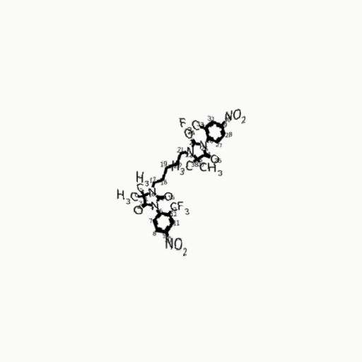 CC1(C)C(=O)N(c2ccc([N+](=O)[O-])cc2C(F)(F)F)C(=O)N1CCCCCN1C(=O)N(c2ccc([N+](=O)[O-])cc2C(F)(F)F)C(=O)C1(C)C